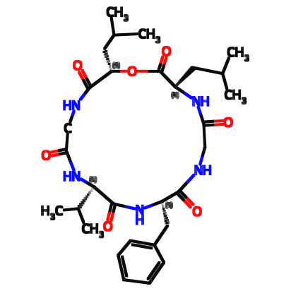 CC(C)C[C@@H]1OC(=O)[C@@H](CC(C)C)NC(=O)CNC(=O)[C@H](Cc2ccccc2)NC(=O)[C@H](C(C)C)NC(=O)CNC1=O